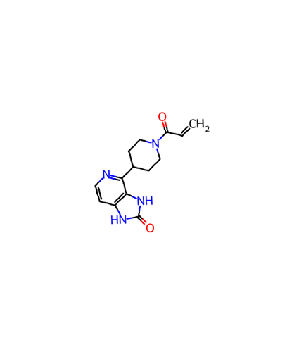 C=CC(=O)N1CCC(c2nccc3[nH]c(=O)[nH]c23)CC1